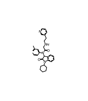 C=C(C)/C=C(\C=C/C)N(C(=O)CNCCc1cccnc1)C1C(=O)N(C2CCCCC2)c2ccccc21